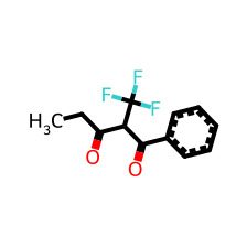 CCC(=O)C(C(=O)c1ccccc1)C(F)(F)F